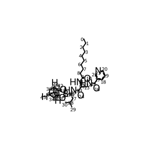 CCCCCCCCCC(=O)N[C@@H](CNC(=O)c1cccnc1)C(=O)N[C@@H](CC(C)C)B1O[C@@H]2C[C@@H]3C[C@@H](C3(C)C)[C@]2(C)O1